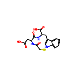 O=C(O)CC(NC(=O)CS)C(=O)NC(Cc1c[nH]c2ccccc12)C(=O)O